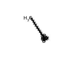 CCCCCCCCCCCCCCCCCCOS(=O)(=O)c1ccccc1[N+](=O)[O-]